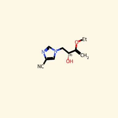 C=C(OCC)[C@H](O)Cn1cnc(C#N)c1